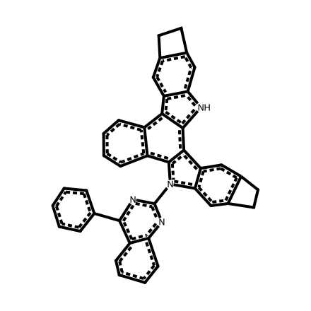 c1ccc(-c2nc(-n3c4cc5c(cc4c4c6[nH]c7cc8c(cc7c6c6ccccc6c43)CC8)CC5)nc3ccccc23)cc1